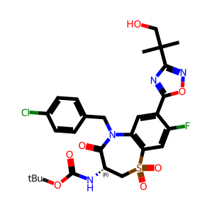 CC(C)(C)OC(=O)N[C@H]1CS(=O)(=O)c2cc(F)c(-c3nc(C(C)(C)CO)no3)cc2N(Cc2ccc(Cl)cc2)C1=O